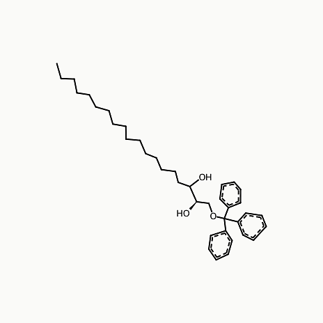 CCCCCCCCCCCCCCCCC(O)[C@H](O)COC(c1ccccc1)(c1ccccc1)c1ccccc1